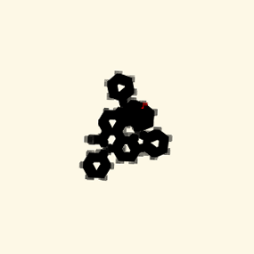 O=c1c2ccc3c(c4ccccc4n3-c3ccccc3)c2c2c(ccc3c4ccccc4n(-c4ccccc4)c32)n1-c1ccccc1